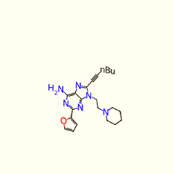 CCCCC#Cc1nc2c(N)nc(-c3ccco3)nc2n1CCN1CCCCC1